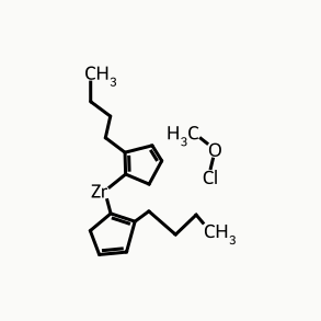 CCCCC1=[C]([Zr][C]2=C(CCCC)C=CC2)CC=C1.COCl